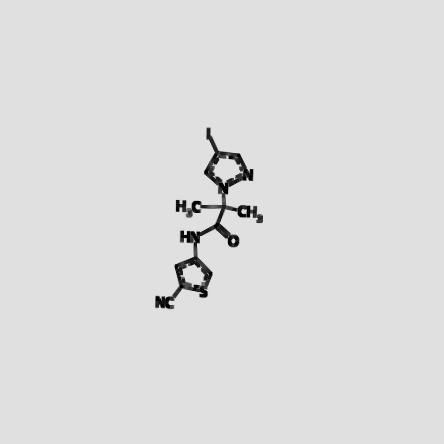 CC(C)(C(=O)Nc1csc(C#N)c1)n1cc(I)cn1